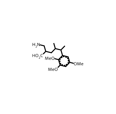 COc1cc(OC)c(OC)c(C(C)C(C)CC(CN)C(=O)O)c1